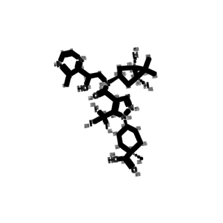 Cc1nccnc1C(O)CN(C(=O)c1cnn([C@H]2CC[C@](C)(C(=O)O)CC2)c1C(F)(F)F)[C@H]1C[C@@H]2[C@H](C1)C2(C)C